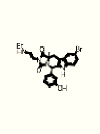 CCNCCN1C(=O)N2[C@H](c3cccc(O)c3)c3[nH]c4ccc(Br)cc4c3C[C@@]2(C)C1=O